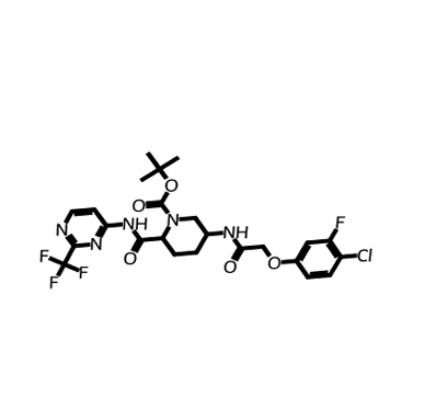 CC(C)(C)OC(=O)N1CC(NC(=O)COc2ccc(Cl)c(F)c2)CCC1C(=O)Nc1ccnc(C(F)(F)F)n1